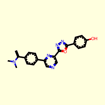 C=C(c1ccc(-c2cncc(-c3nnc(-c4ccc(O)cc4)o3)n2)cc1)N(C)C